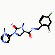 CN1C(=O)N(c2cncn2C)CC1C(=O)NCC1=C(Cl)CC(Cl)C=C1